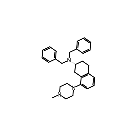 CN1CCN(c2cccc3c2C[C@H](N(Cc2ccccc2)Cc2ccccc2)CC3)CC1